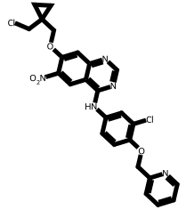 O=[N+]([O-])c1cc2c(Nc3ccc(OCc4ccccn4)c(Cl)c3)ncnc2cc1OCC1(CCl)CC1